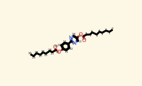 CCCCCCCCCC(=O)Oc1cnc(-c2ccc(OC(=O)CCCCCCCC)cc2)nc1